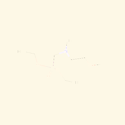 CCOP(=O)(CN(C)CCOC)OCC